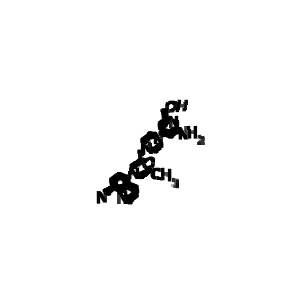 C[C@@H]1CN(c2ccc(C#N)c3ncccc23)C[C@H](CN2CCN(c3cc(N)nc(CO)c3)CC2)O1